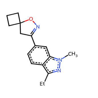 CCc1nn(C)c2cc(C3=NOC4(CCC4)C3)ccc12